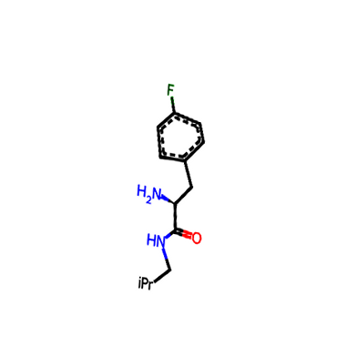 CC(C)CNC(=O)[C@@H](N)Cc1ccc(F)cc1